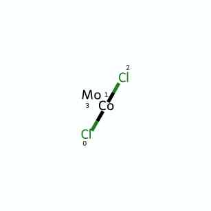 [Cl][Co][Cl].[Mo]